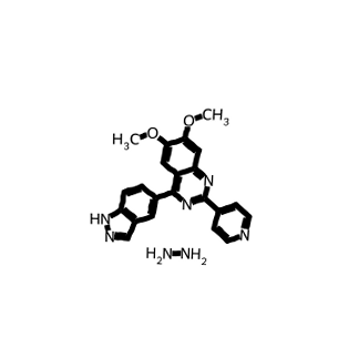 COc1cc2nc(-c3ccncc3)nc(-c3ccc4[nH]ncc4c3)c2cc1OC.NN